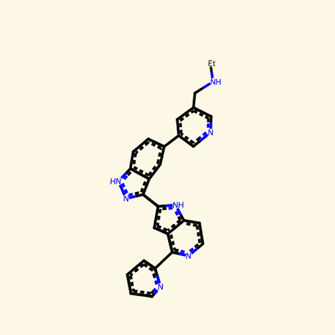 CCNCc1cncc(-c2ccc3[nH]nc(-c4cc5c(-c6ccccn6)nccc5[nH]4)c3c2)c1